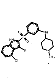 CN1CCC(Nc2cccc(S(=O)(=O)c3[nH]c4cccc(Cl)c4c3Br)c2)CC1